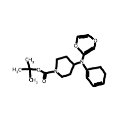 CC(C)(C)OC(=O)N1CCC(N(C2=CC=CCC2)C2=COC=CO2)CC1